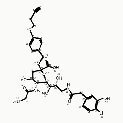 C#CCCOc1ccc(CO[C@]2(C(=O)O)C[C@H](O)[C@@H](NC(=O)CO)[C@H]([C@H](O)[C@H](O)CNC(=O)Cc3ccc(Cl)c(O)c3)O2)cc1